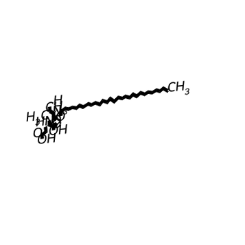 CCCCCCCCCCCCCCCCCCCCCCCCCCCCCC(=O)N[C@H](C(=O)N[C@@H](CCC(=O)O)C(=O)O)C(C)C